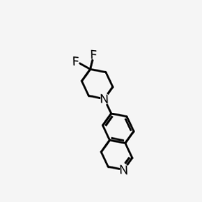 FC1(F)CCN(c2ccc3c(c2)CCN=C3)CC1